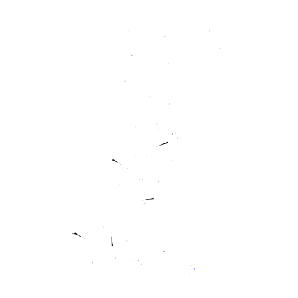 C=C(C)[C@@H]1CC[C@]2(NCCN3CCCCC3)CC[C@]3(C)[C@H](CC[C@@H]4[C@@]5(C)CC=C(C6=CCC(CO)(C(=O)OCC)CC6)C(C)(C)[C@@H]5CC[C@]43C)[C@@H]12